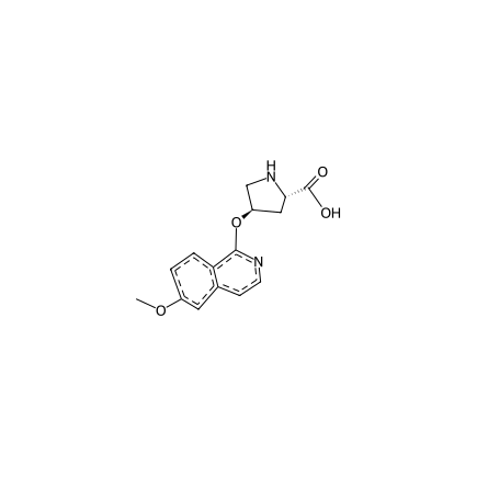 COc1ccc2c(O[C@H]3CN[C@H](C(=O)O)C3)nccc2c1